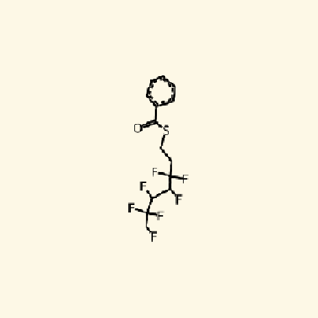 O=C(SCCC(F)(F)C(F)C(F)C(F)(F)CF)c1ccccc1